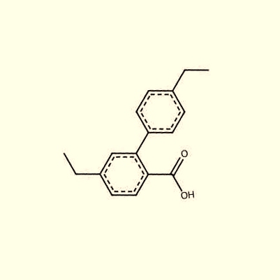 CCc1ccc(-c2cc(CC)ccc2C(=O)O)cc1